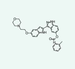 Cc1ccccc1[PH](=O)Oc1ccc2[nH]nc(-c3cc4cc(OCCN5CCOCC5)ccc4[nH]3)c2c1